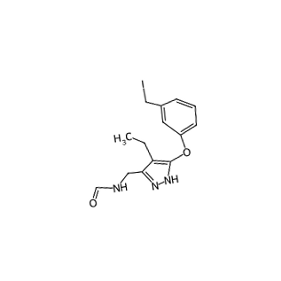 CCc1c(CNC=O)n[nH]c1Oc1cccc(CI)c1